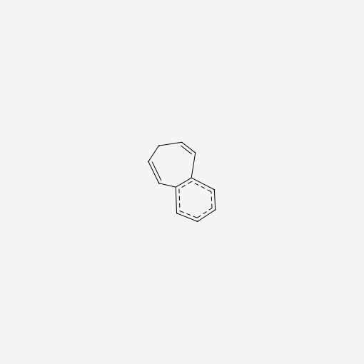 C1=Cc2ccccc2C=CC1